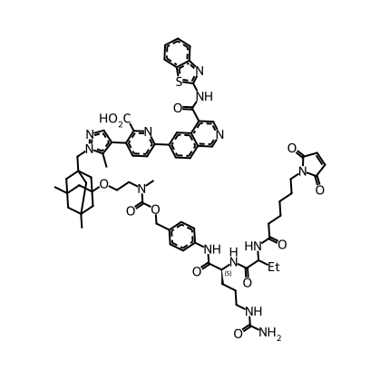 CCC(NC(=O)CCCCCN1C(=O)C=CC1=O)C(=O)N[C@@H](CCCNC(N)=O)C(=O)Nc1ccc(COC(=O)N(C)CCOC23CC4(C)CC(C)(CC(Cn5ncc(-c6ccc(-c7ccc8cncc(C(=O)Nc9nc%10ccccc%10s9)c8c7)nc6C(=O)O)c5C)(C4)C2)C3)cc1